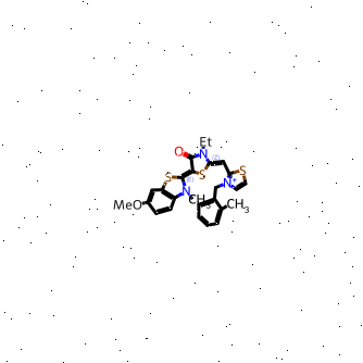 CCn1c(=O)/c(=C2\Sc3cc(OC)ccc3N2C)s/c1=C\c1scc[n+]1Cc1ccccc1C